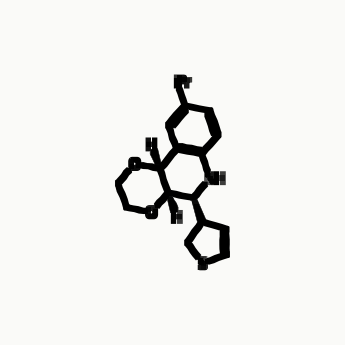 CC(C)c1ccc2c(c1)[C@H]1OCCO[C@H]1[C@H](C1C=CSC1)N2